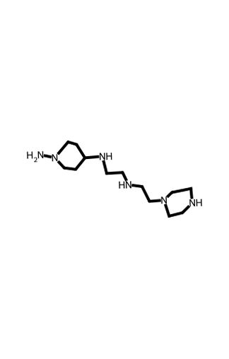 NN1CCC(NCCNCCN2CCNCC2)CC1